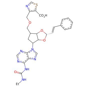 CCNC(=O)Nc1ncnc2c1ncn2C1CC(COCc2ncsc2C(=O)O)C2O[C@H](/C=C/c3ccccc3)OC21